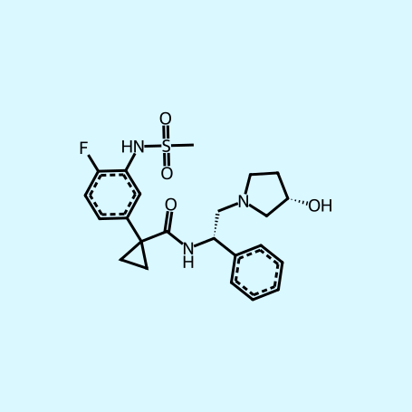 CS(=O)(=O)Nc1cc(C2(C(=O)N[C@H](CN3CC[C@H](O)C3)c3ccccc3)CC2)ccc1F